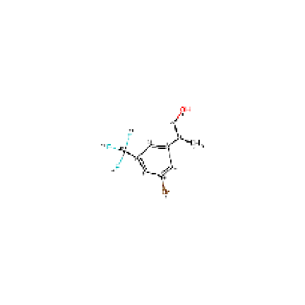 C[C](CO)c1cc(Br)cc(C(F)(F)F)c1